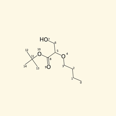 CCCCOC(CO)C(=O)OC(C)(C)C